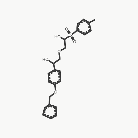 Cc1ccc(S(=O)(=O)C(O)COCC(O)c2ccc(OCc3ccccc3)cc2)cc1